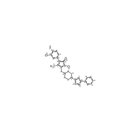 Cn1c(CN2CCN(c3nc(-c4ccccc4)ns3)CC2)c(Cl)c(=O)n1-c1ccc(F)c(Cl)c1